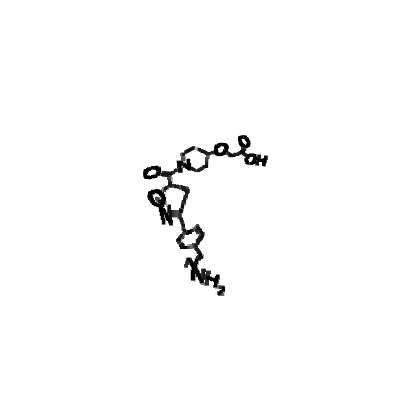 NN=Cc1ccc(C2=NOC(C(=O)N3CCC(OCC(=O)O)CC3)C2)cc1